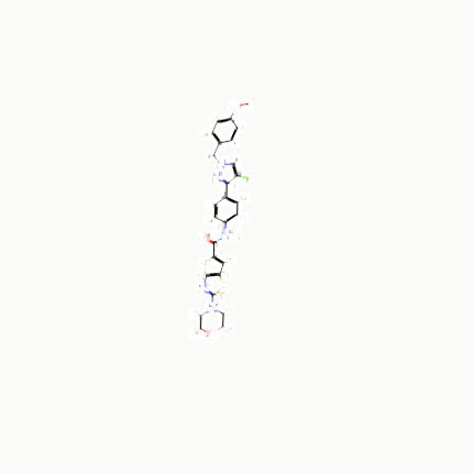 COc1ccc(Cn2cc(F)c(-c3ccc(NC(=O)c4cc5sc(N6CCOCC6)nc5s4)cc3)n2)cc1